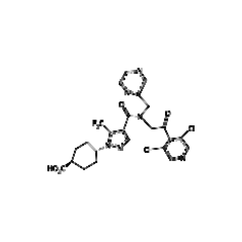 O=C(CN(Cc1cnccn1)C(=O)c1cnn([C@H]2CC[C@H](C(=O)O)CC2)c1C(F)(F)F)c1c(Cl)cncc1Cl